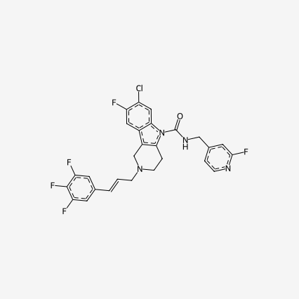 O=C(NCc1ccnc(F)c1)n1c2c(c3cc(F)c(Cl)cc31)CN(CC=Cc1cc(F)c(F)c(F)c1)CC2